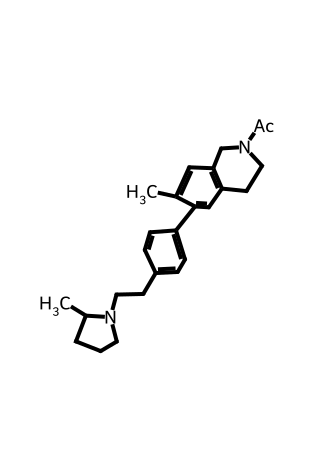 CC(=O)N1CCc2cc(-c3ccc(CCN4CCCC4C)cc3)c(C)cc2C1